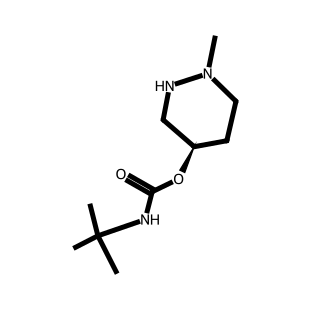 CN1CC[C@@H](OC(=O)NC(C)(C)C)CN1